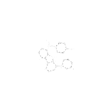 CC(C)c1ccc(N(C)c2cccc3c2oc2c(-c4ccccc4)cccc23)cc1